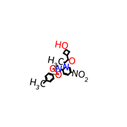 Cc1ccc(S(=O)(=O)N=c2ccc([N+](=O)[O-])cn2C(C)C(=O)C2CC(O)C2)cc1